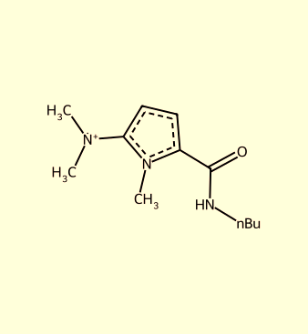 CCCCNC(=O)c1ccc([N+](C)C)n1C